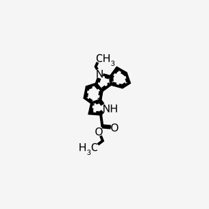 CCOC(=O)c1cc2ccc3c(c4ccccc4n3CC)c2[nH]1